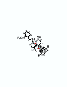 O=[N+]([O-])c1cnc(NCc2ccccc2OC(F)(F)F)nc1NC[C@]12CC3C[C@H](C1)[C@@H](NC[C@H]1CC[C@H](O)CC1)[C@@H](C3)C2